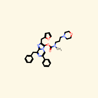 CN(CCCN1CCOCC1)C(=O)Oc1c(Cc2ccco2)nc2c(Cc3ccccc3)nc(-c3ccccc3)cn12